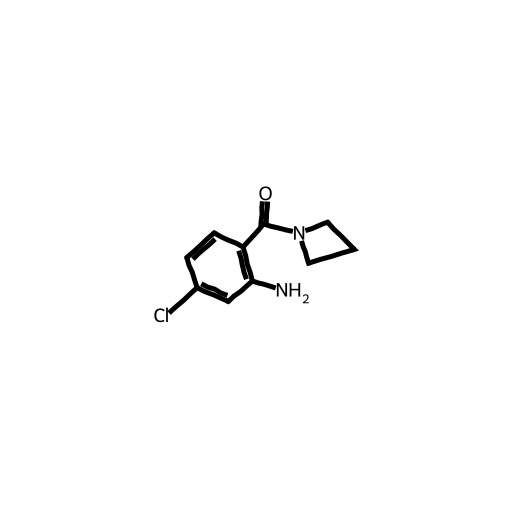 Nc1cc(Cl)ccc1C(=O)N1CCC1